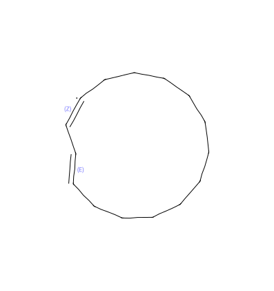 [C]1=C\C=C\CCCCCCCCCCC/1